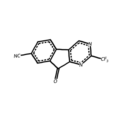 N#Cc1ccc2c(c1)C(=O)c1nc(C(F)(F)F)ncc1-2